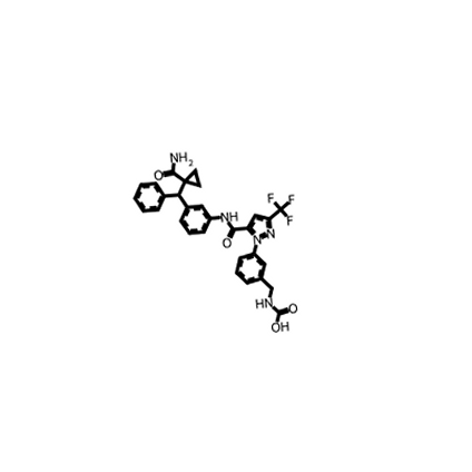 NC(=O)C1(C(c2ccccc2)c2cccc(NC(=O)c3cc(C(F)(F)F)nn3-c3cccc(CNC(=O)O)c3)c2)CC1